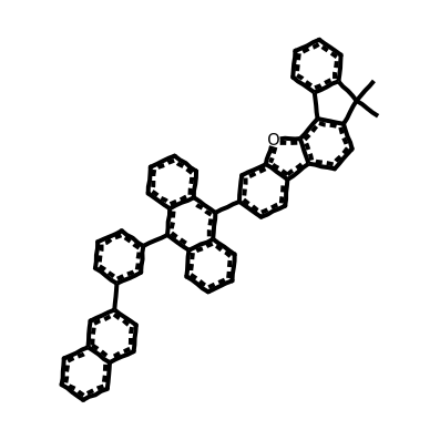 CC1(C)c2ccccc2-c2c1ccc1c2oc2cc(-c3c4ccccc4c(-c4cccc(-c5ccc6ccccc6c5)c4)c4ccccc34)ccc21